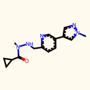 CN(NCc1ccc(-c2cnn(C)c2)cn1)C(=O)C1CC1